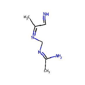 C/C(N)=N/C/N=C(/C)C=N